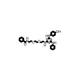 O=C(NCCOCCOCCNc1nc(Nc2ccccc2)nc(Nc2ccc(O)cc2)n1)c1ccccc1